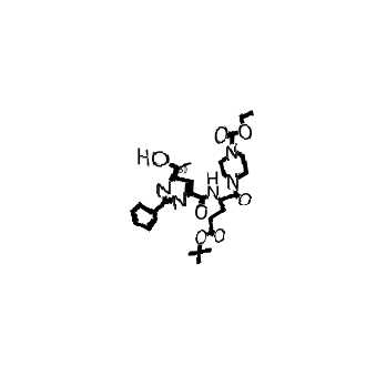 CCOC(=O)N1CCN(C(=O)C(CCC(=O)OC(C)(C)C)NC(=O)c2cc([C@H](C)O)nc(-c3ccccc3)n2)CC1